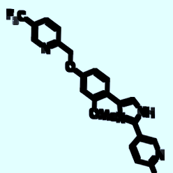 COc1cc(OCc2ccc(C(F)(F)F)cn2)ccc1-c1c[nH]c(-c2ccc(O)nc2)n1